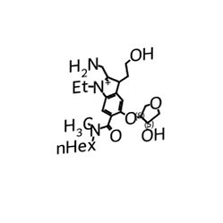 CCCCCCN(C)C(=O)c1cc2c(cc1O[C@H]1COC[C@@H]1O)C(CCO)C(CN)=[N+]2CC